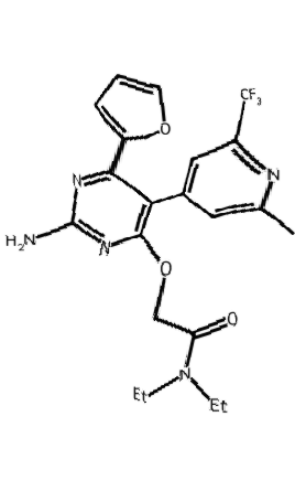 CCN(CC)C(=O)COc1nc(N)nc(-c2ccco2)c1-c1cc(C)nc(C(F)(F)F)c1